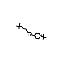 CC(C)(C)CCCCCNC1CCN(C(C)(C)C)CC1